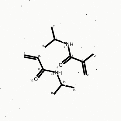 C=C(C)C(=O)NC(C)C.C=CC(=O)NC(C)C